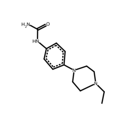 CCN1CCN(c2ccc(NC(N)=O)cc2)CC1